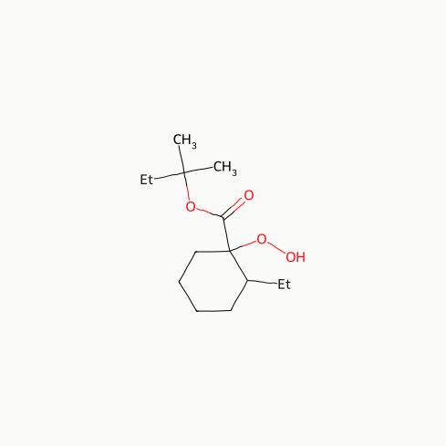 CCC1CCCCC1(OO)C(=O)OC(C)(C)CC